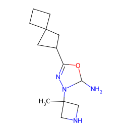 CC1(N2N=C(C3CC4(CCC4)C3)OC2N)CNC1